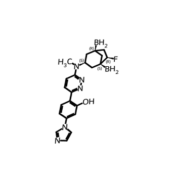 B[C@]12C[C@H](N(C)c3ccc(-c4ccc(-n5ccnc5)cc4O)nn3)C[C@](B)(C1)[C@H](F)C2